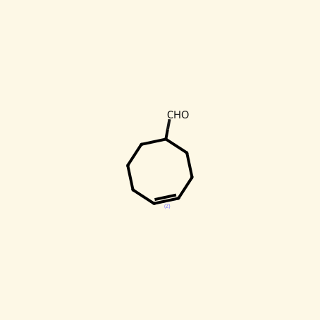 O=CC1CC/C=C\CCC1